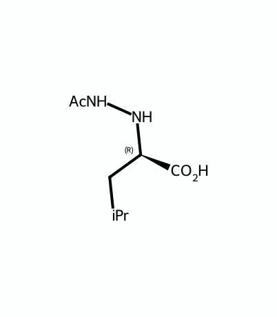 CC(=O)NN[C@H](CC(C)C)C(=O)O